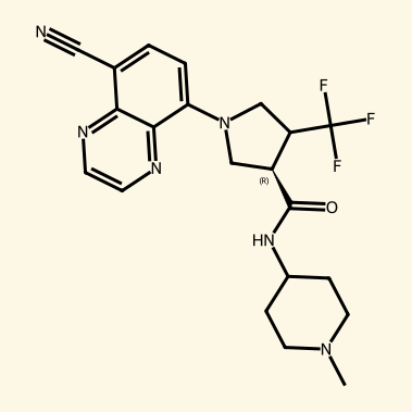 CN1CCC(NC(=O)[C@H]2CN(c3ccc(C#N)c4nccnc34)CC2C(F)(F)F)CC1